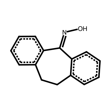 ON=C1c2ccccc2CCc2ccccc21